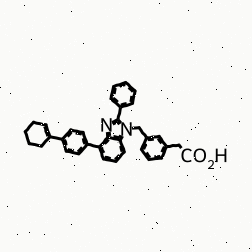 O=C(O)Cc1cccc(Cn2c(-c3ccccc3)nc3c(-c4ccc(C5=CCCCC5)cc4)cccc32)c1